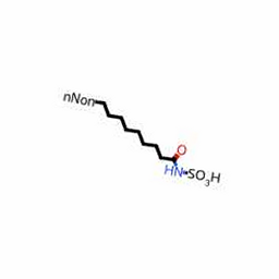 CCCCCCCCCCCCCCCCCC(=O)NS(=O)(=O)O